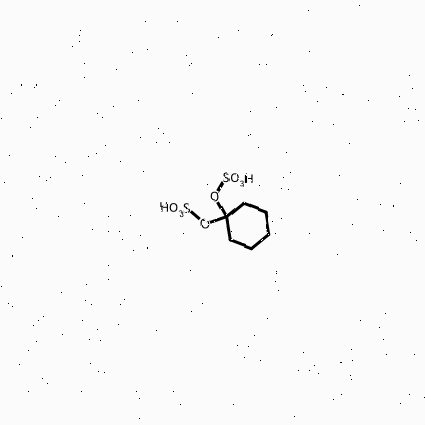 O=S(=O)(O)OC1(OS(=O)(=O)O)CCCCC1